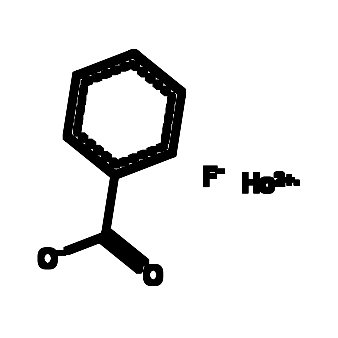 O=C([O-])c1ccccc1.[F-].[Ho+2]